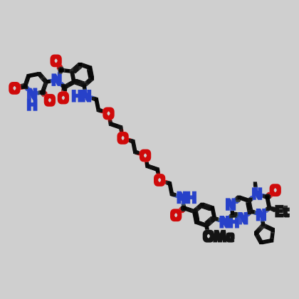 CC[C@@H]1C(=O)N(C)c2cnc(Nc3ccc(C(=O)NCCOCCOCCOCCOCCNc4cccc5c4C(=O)N(C4CCC(=O)NC4=O)C5=O)cc3OC)nc2N1C1CCCC1